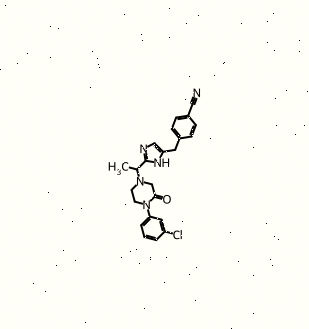 CC(c1ncc(Cc2ccc(C#N)cc2)[nH]1)N1CCN(c2cccc(Cl)c2)C(=O)C1